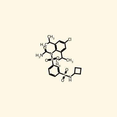 CC(C)c1cc(Cl)cc(C(C)C)c1N(C(N)=O)S(=O)(=O)c1cccc(S(=O)(=O)NC2CCC2)c1